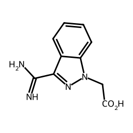 N=C(N)c1nn(CC(=O)O)c2ccccc12